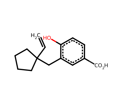 C=CC1(Cc2cc(C(=O)O)ccc2O)CCCC1